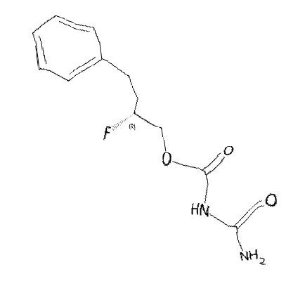 NC(=O)NC(=O)OC[C@H](F)Cc1ccccc1